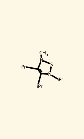 CC(C)C1=C(C(C)C)N(C(C)C)SN1C